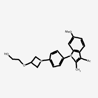 COc1ccc2c(C(C)=O)c(C)n(-c3ccc(N4CC(OCCO)C4)cc3)c2c1